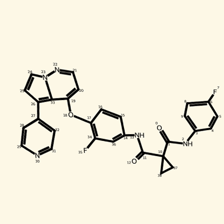 O=C(Nc1ccc(F)cc1)C1(C(=O)Nc2ccc(Oc3ccnn4ccc(-c5ccncc5)c34)c(F)c2)CC1